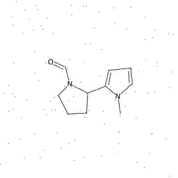 Cn1cccc1C1CCCN1C=O